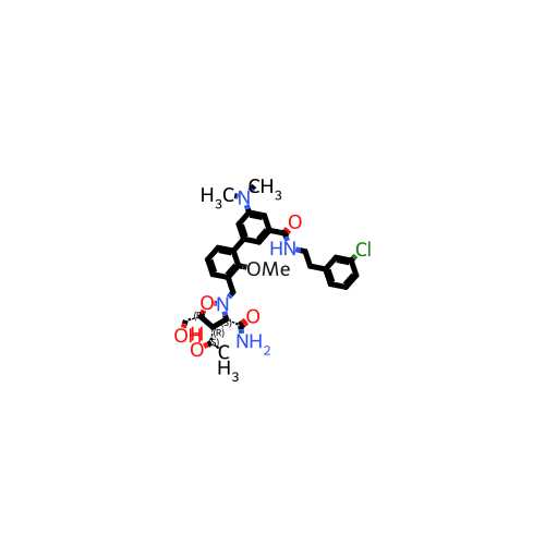 COc1c(CN2O[C@@H](CO)[C@@H]([C@H](C)O)[C@H]2C(N)=O)cccc1-c1cc(C(=O)NCCc2cccc(Cl)c2)cc(N(C)C)c1